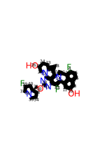 C#Cc1c(F)ccc2cc(O)cc(-c3nc(C4CC4)c4c(N5CCC[C@@H](O)C5)nc(OC[C@@]56CCCN5C[C@H](F)C6)nc4c3F)c12